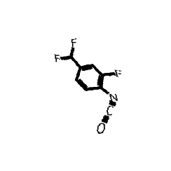 O=C=Nc1ccc(C(F)F)cc1F